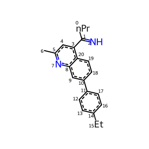 CCCC(=N)c1cc(C)nc2cc(-c3ccc(CC)cc3)ccc12